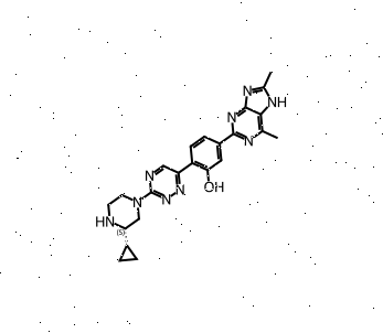 Cc1nc2nc(-c3ccc(-c4cnc(N5CCN[C@@H](C6CC6)C5)nn4)c(O)c3)nc(C)c2[nH]1